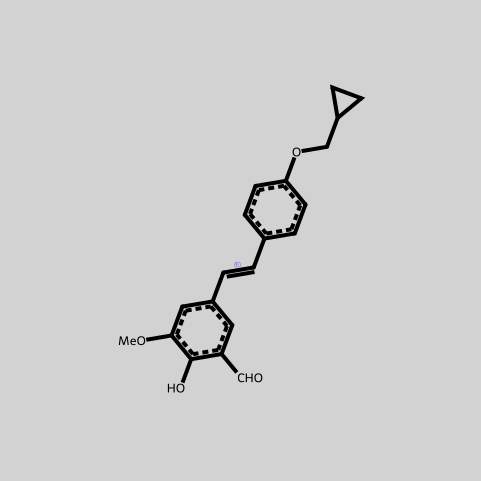 COc1cc(/C=C/c2ccc(OCC3CC3)cc2)cc(C=O)c1O